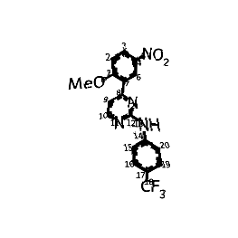 COc1ccc([N+](=O)[O-])cc1-c1ccnc(Nc2ccc(C(F)(F)F)cc2)n1